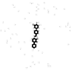 FC1C(C2CCCCC2)CC[C@H](CCC2CCC([C@@H]3CC[C@H](I)C(F)C3)CC2)C1F